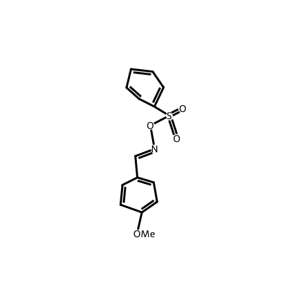 COc1ccc(C=NOS(=O)(=O)c2ccccc2)cc1